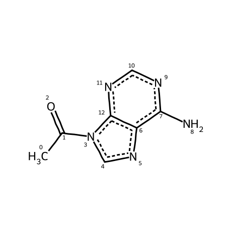 CC(=O)n1cnc2c(N)ncnc21